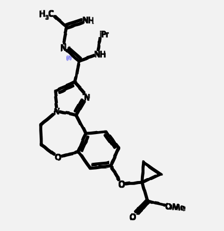 COC(=O)C1(Oc2ccc3c(c2)OCCn2cc(/C(=N/C(C)=N)NC(C)C)nc2-3)CC1